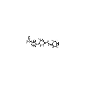 FC(F)c1nnc(-c2ccc(COc3ccncc3)nc2)o1